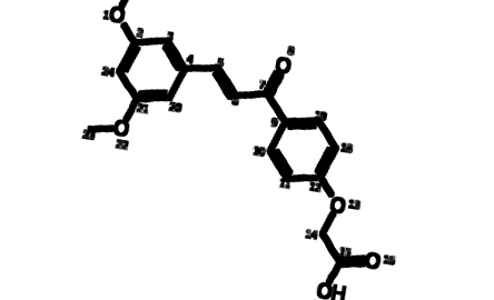 COc1cc(C=CC(=O)c2ccc(OCC(=O)O)cc2)cc(OC)c1